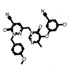 COc1ccc(Cn2nc(Cn3cnc(C)c(Oc4cc(Cl)cc(C#N)c4)c3=O)cc(C#N)c2=O)cc1